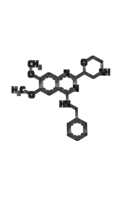 COc1cc2nc(C3CNCCO3)nc(NCc3ccccc3)c2cc1OC